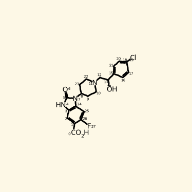 O=C(O)c1cc2[nH]c(=O)n(C3CCN(CC(O)c4ccc(Cl)cc4)CC3)c2cc1F